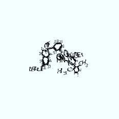 CCOc1cc(-c2c(C)cccc2C)nc(NS(=O)(=O)c2cccc(C(=O)N3CCc4cc(C(C)(C)C)ccc4C3)c2)n1